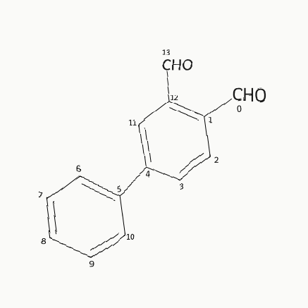 O=Cc1ccc(-c2ccccc2)cc1C=O